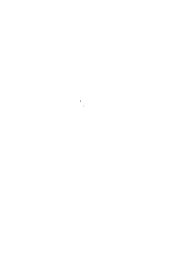 c1ccc(-c2cc(-c3cccc4oc5ccc(-c6ccc7ccc8ccccc8c7c6)cc5c34)cc(-c3ccccc3)n2)cc1